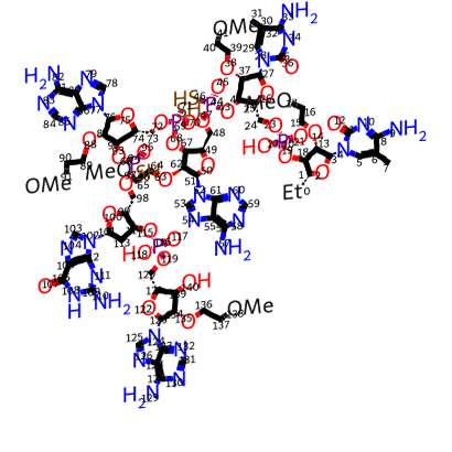 CC[C@H]1O[C@@H](n2cc(C)c(N)nc2=O)[C@@H](OCCOC)C1OP(=O)(O)OC[C@H]1O[C@@H](n2cc(C)c(N)nc2=O)[C@@H](OCCOC)C1OP(=O)(S)OC[C@H]1O[C@@H](n2cnc3c(N)ncnc32)[C@@H](OCCOC)C1OP(=O)(S)OC[C@H]1O[C@@H](n2cnc3c(N)ncnc32)[C@@H](OCCOC)C1OP(=O)(S)OC[C@H]1O[C@@H](n2cnc3c(=O)[nH]c(N)nc32)CC1OP(=O)(O)OC[C@H]1O[C@@H](n2cnc3c(N)ncnc32)[C@@H](OCCOC)C1O